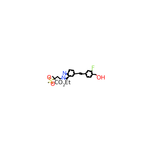 CCOC(=O)C(C)(CCn1cc2cc(C#Cc3ccc(CO)c(F)c3)ccc2n1)S(C)(=O)=O